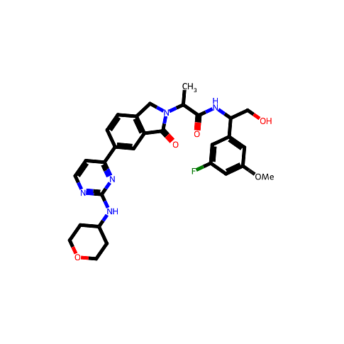 COc1cc(F)cc(C(CO)NC(=O)C(C)N2Cc3ccc(-c4ccnc(NC5CCOCC5)n4)cc3C2=O)c1